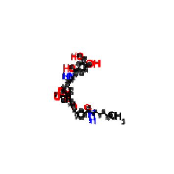 CC(=O)O.CCCCCNC(=O)c1cccc(COCCOc2ccc(CCNC[C@H](O)c3ccc(O)c(CO)c3)cc2)c1